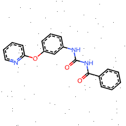 O=C(NC(=O)c1ccccc1)Nc1cccc(Oc2ccccn2)c1